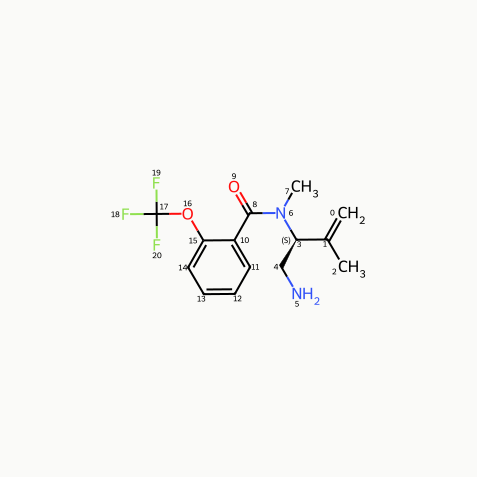 C=C(C)[C@@H](CN)N(C)C(=O)c1ccccc1OC(F)(F)F